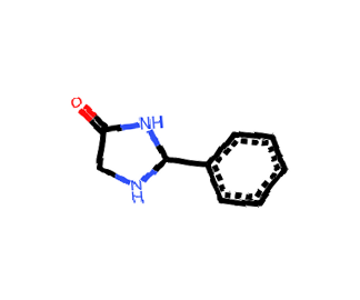 O=C1CNC(c2ccccc2)N1